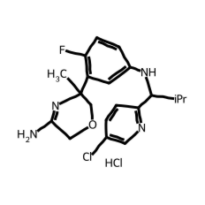 CC(C)C(Nc1ccc(F)c(C2(C)COCC(N)=N2)c1)c1ccc(Cl)cn1.Cl